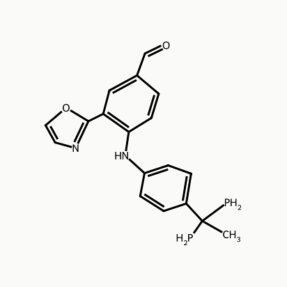 CC(P)(P)c1ccc(Nc2ccc(C=O)cc2-c2ncco2)cc1